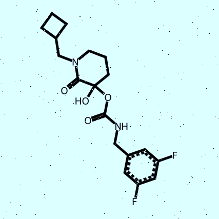 O=C(NCc1cc(F)cc(F)c1)OC1(O)CCCN(CC2CCC2)C1=O